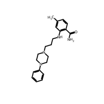 Cc1ccc(C(N)=O)c(NCCCN2CCN(c3ccccc3)CC2)c1